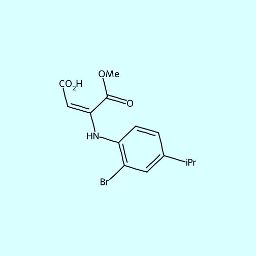 COC(=O)C(=CC(=O)O)Nc1ccc(C(C)C)cc1Br